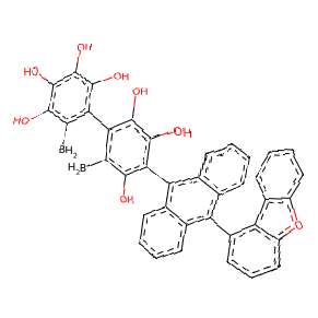 Bc1c(O)c(O)c(O)c(O)c1-c1c(B)c(O)c(-c2c3ccccc3c(-c3cccc4oc5ccccc5c34)c3ccccc23)c(O)c1O